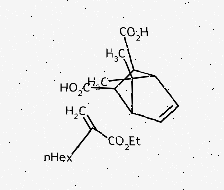 C=C(CCCCCC)C(=O)OCC.CC1(C)C2C=CC1C(C(=O)O)C2C(=O)O